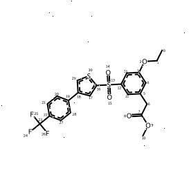 CCOc1cc(CC(=O)OC)cc(S(=O)(=O)c2cc(-c3ccc(C(F)(F)F)cc3)cs2)c1